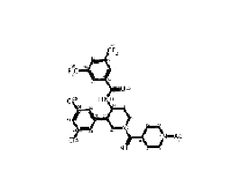 CC(=O)N1CCC(C(=O)N2CCC(NC(=O)c3cc(C(F)(F)F)cc(C(F)(F)F)c3)C(c3cc(Cl)cc(Cl)c3)C2)CC1